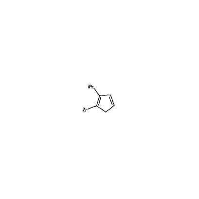 CC(C)C1=[C]([Zr])CC=C1